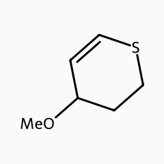 COC1C=CSCC1